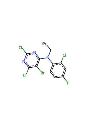 CC(C)CN(c1ccc(F)cc1Cl)c1nc(Cl)nc(Cl)c1Br